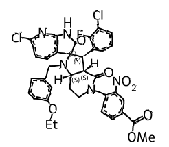 CCOc1cccc(CN2[C@H]3CCN(c4ccc(C(=O)OC)cc4[N+](=O)[O-])C(=O)[C@H]3[C@H](c3cccc(Cl)c3F)[C@]23C(=O)Nc2nc(Cl)ccc23)c1